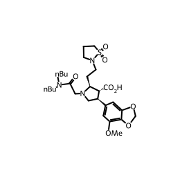 CCCCN(CCCC)C(=O)CN1C[C@H](c2cc(OC)c3c(c2)OCO3)[C@@H](C(=O)O)[C@@H]1CCN1CCCS1(=O)=O